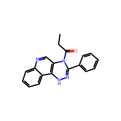 CCC(=O)N1C(c2ccccc2)=NNc2c1cnc1ccccc21